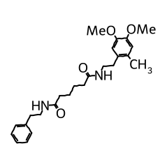 COc1cc(C)c(CCNC(=O)CCCCC(=O)NCCc2ccccc2)cc1OC